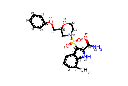 Cc1cccc2c(S(=O)(=O)N3CCO[C@H](COc4ccccc4)C3)c(C(N)=O)[nH]c12